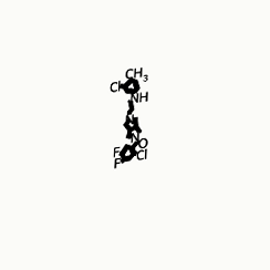 Cc1ccc(NCCCN2CC3CN(C(=O)c4cc(F)c(F)cc4Cl)CC3C2)cc1Cl